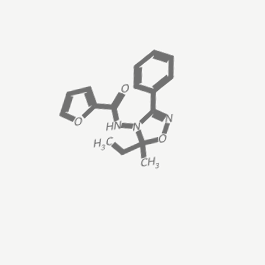 CCC1(C)ON=C(c2ccccc2)N1NC(=O)c1ccco1